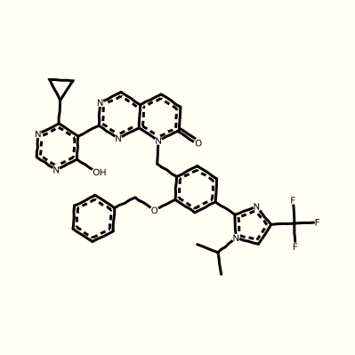 CC(C)n1cc(C(F)(F)F)nc1-c1ccc(Cn2c(=O)ccc3cnc(-c4c(O)ncnc4C4CC4)nc32)c(OCc2ccccc2)c1